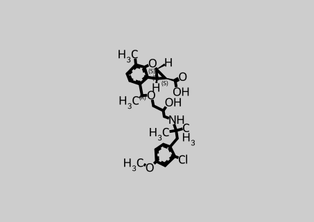 COc1ccc(CC(C)(C)NCC(O)CO[C@H](C)c2ccc(C)c3c2[C@@H]2[C@H](O3)[C@H]2C(=O)O)c(Cl)c1